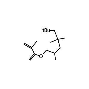 C=C(C)C(=C)OCC(C)CC(C)(C)CC(C)(C)C